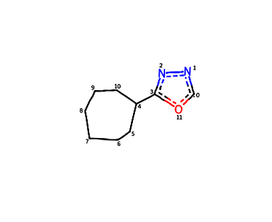 [c]1nnc(C2CCCCCC2)o1